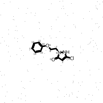 O=c1cc(Cl)[nH]n1CCOc1ccccc1